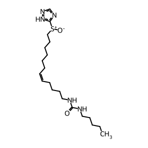 CCCCCNC(=O)NCCCC/C=C\CCCCCC[S+]([O-])c1ncn[nH]1